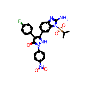 CC(C)S(=O)(=O)n1c(N)nc2ccc(-c3[nH]n(-c4ccc([N+](=O)[O-])cc4)c(=O)c3-c3ccc(F)cc3)cc21